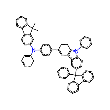 CC1(C)c2ccccc2-c2ccc(N(C3=CC=CCC3)c3ccc(C4=Cc5c(n(-c6ccccc6)c6ccc(C7(c8ccccc8)c8ccccc8-c8ccccc87)cc56)CC4)cc3)cc21